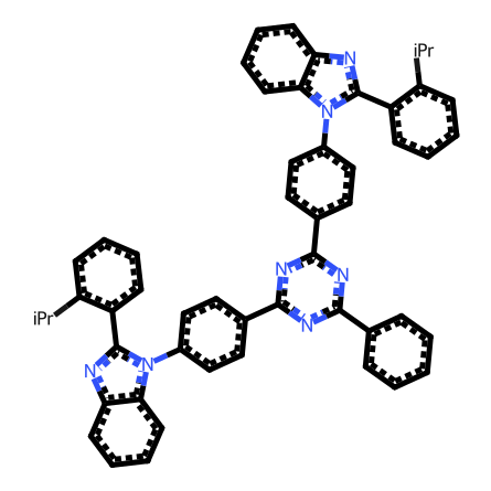 CC(C)c1ccccc1-c1nc2ccccc2n1-c1ccc(-c2nc(-c3ccccc3)nc(-c3ccc(-n4c(-c5ccccc5C(C)C)nc5ccccc54)cc3)n2)cc1